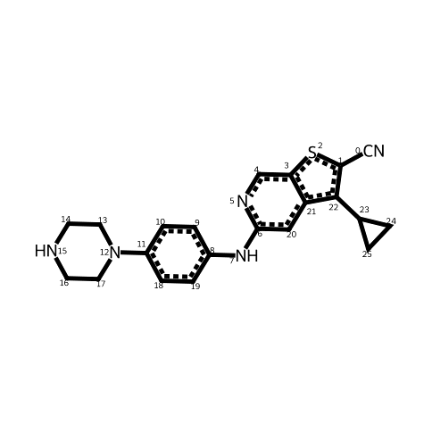 N#Cc1sc2cnc(Nc3ccc(N4CCNCC4)cc3)cc2c1C1CC1